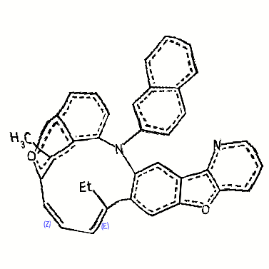 CC/C1=C\C=C/c2oc3cccc(c3c2C)N(c2ccc3ccccc3c2)c2cc3c(cc21)oc1cccnc13